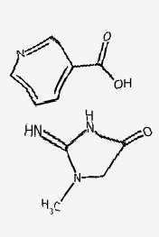 CN1CC(=O)NC1=N.O=C(O)c1cccnc1